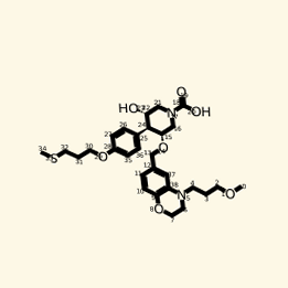 COCCCN1CCOc2ccc(CO[C@H]3CN(C(=O)O)C[C@@H](O)[C@@H]3c3ccc(OCCCSC)cc3)cc21